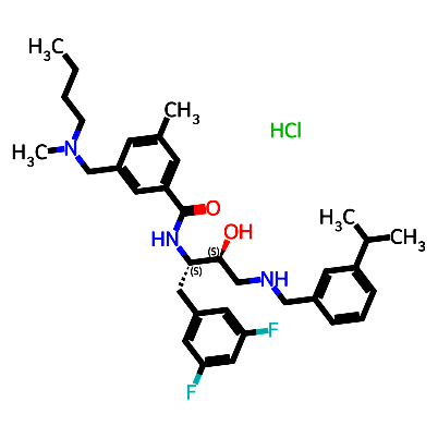 CCCCN(C)Cc1cc(C)cc(C(=O)N[C@@H](Cc2cc(F)cc(F)c2)[C@@H](O)CNCc2cccc(C(C)C)c2)c1.Cl